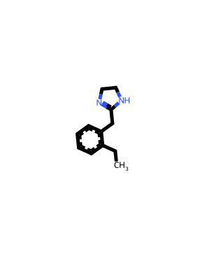 CCc1ccccc1CC1=NCCN1